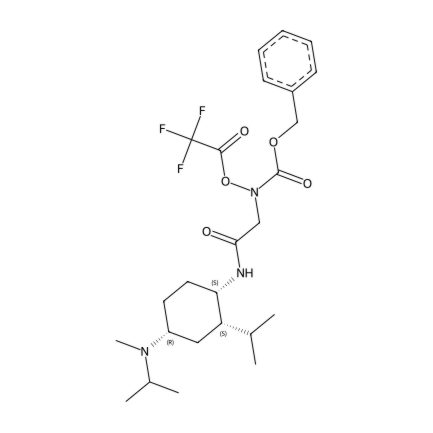 CC(C)[C@@H]1C[C@H](N(C)C(C)C)CC[C@@H]1NC(=O)CN(OC(=O)C(F)(F)F)C(=O)OCc1ccccc1